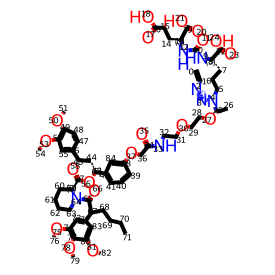 C=C/N=N\N(CCC[C@H](NC(=O)N[C@@H](CCC(=O)O)C(=O)O)C(=O)O)C(C)OCCOCCNC(=O)COc1cccc([C@@H](CCc2ccc(OC)c(OC)c2)OC(=O)[C@@H]2CCCCN2C(=O)C(CCCC)c2cc(OC)c(OC)c(OC)c2)c1